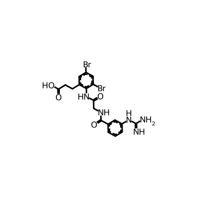 N=C(N)Nc1cccc(C(=O)NCC(=O)Nc2c(Br)cc(Br)cc2CCC(=O)O)c1